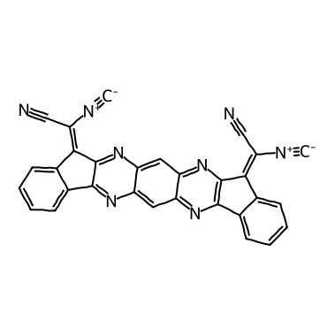 [C-]#[N+]/C(C#N)=C1/c2ccccc2-c2nc3cc4nc5c(nc4cc3nc21)/C(=C(\C#N)[N+]#[C-])c1ccccc1-5